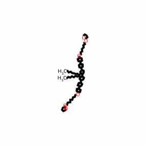 CCCCCCCCC1(CCCCCCCC)c2cc(-c3ccc(-c4ccc(OCCCCCCCCOC5CCCCO5)cc4)cc3)ccc2-c2ccc(-c3ccc(-c4ccc(OCCCCCCCCOC5CCCCO5)cc4)cc3)cc21